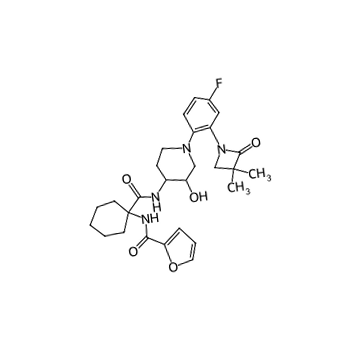 CC1(C)CN(c2cc(F)ccc2N2CCC(NC(=O)C3(NC(=O)c4ccco4)CCCCC3)C(O)C2)C1=O